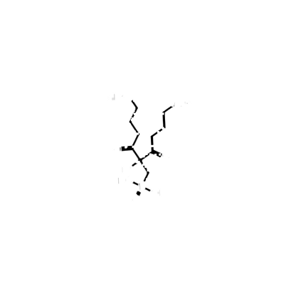 CCCCCCCCCCCCCC(=O)C(O)(CP(=O)(O)O)C(=O)CCCCCCCCCCCCC